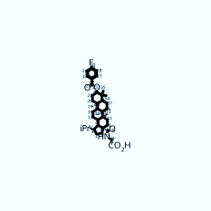 CC(C)[C@@H]1CC[C@]2(C(=O)NCC(=O)O)CC[C@]3(C)C(CCC4[C@@]5(C)CC[C@@H](OC(=O)c6ccc(F)cc6)C(C)(C)C5CC[C@]43C)C12